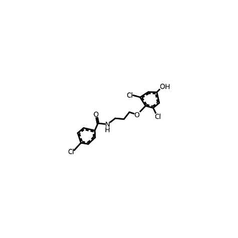 O=C(NCCCOc1c(Cl)cc(O)cc1Cl)c1ccc(Cl)cc1